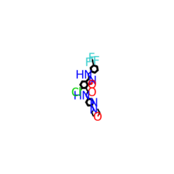 O=C(Nc1ccc(N2CCOCC2)nc1)c1c(Cl)ccc2c(Nc3cccc(C(F)(F)F)c3)noc12